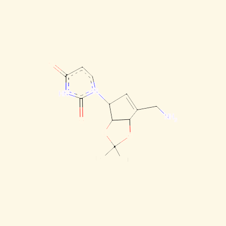 CC1(C)OC2C(CN)=CC(n3ccc(=O)[nH]c3=O)C2O1